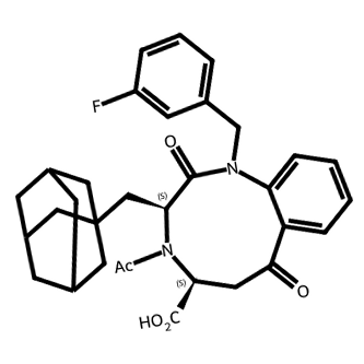 CC(=O)N1[C@H](C(=O)O)CC(=O)c2ccccc2N(Cc2cccc(F)c2)C(=O)[C@@H]1CC12CC3CC(CC(C3)C1)C2